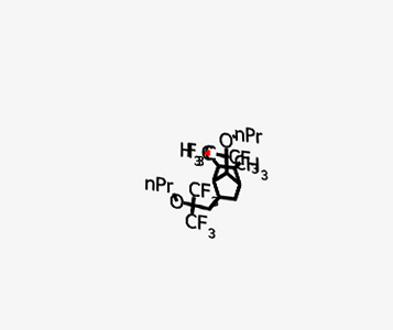 CCCOC(CC1CC2C(C)C(C)C1C2C(OCCC)(C(F)(F)F)C(F)(F)F)(C(F)(F)F)C(F)(F)F